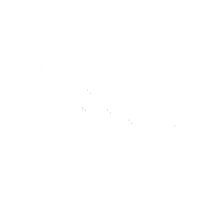 CC(C)(C)OC(=O)N1CCN(c2nc3cc(Br)c(Br)cc3[nH]2)CC1